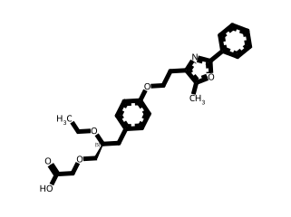 CCO[C@H](COCC(=O)O)Cc1ccc(OCCc2nc(-c3ccccc3)oc2C)cc1